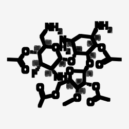 CO[C@H]1[C@@H](OC(C)=O)[C@H](O[C@@H]2[C@@H](OC(C)=O)[C@H](N)C[C@H](N)[C@H]2O[C@H]2O[C@H](CN)[C@@H](OC(C)=O)[C@@H](F)[C@H]2N)O[C@@H]1COC(C)=O